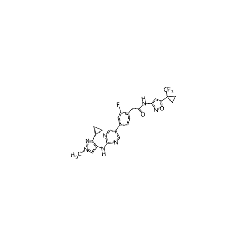 Cn1cc(Nc2ncc(-c3ccc(CC(=O)Nc4cc(C5(C(F)(F)F)CC5)on4)c(F)c3)cn2)c(C2CC2)n1